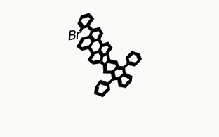 Brc1ccccc1-c1ccc2c3ccc4c5c(ccc(c6cccc1c62)c53)-c1cc2c(-c3ccccc3)c3ccccc3c(-c3ccccc3)c2cc1-4